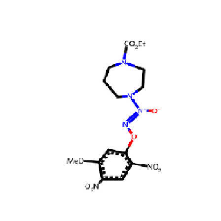 CCOC(=O)N1CCCN(/[N+]([O-])=N/Oc2cc(OC)c([N+](=O)[O-])cc2[N+](=O)[O-])CC1